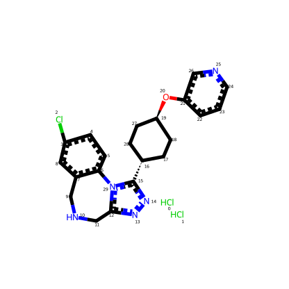 Cl.Cl.Clc1ccc2c(c1)CNCc1nnc([C@H]3CC[C@H](Oc4cccnc4)CC3)n1-2